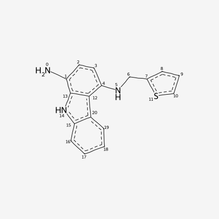 Nc1ccc(NCc2cccs2)c2c1[nH]c1ccccc12